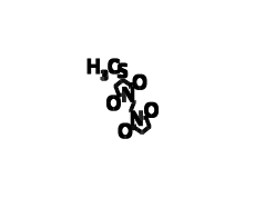 CSC1CC(=O)N(CCN2C(=O)CCC2=O)C1=O